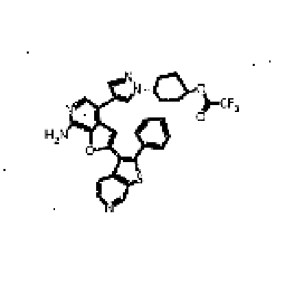 Nc1ncc(-c2cnn([C@H]3CC[C@H](OC(=O)C(F)(F)F)CC3)c2)c2cc(-c3c(-c4ccccc4)sc4cnccc34)oc12